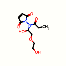 CCC(=O)N(C(O)COCCO)N1C(=O)C=CC1=O